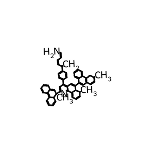 C=C(/C=C\C=C/N)c1ccc(-c2cc(C3(C)C=c4ccccc4=C4C=CC=CC43)nc3c2C=C(c2cc4c(c5ccccc25)CC(C)C=C4)C2C3=CC=CC2C)cc1